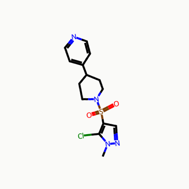 Cn1ncc(S(=O)(=O)N2CCC(c3ccncc3)CC2)c1Cl